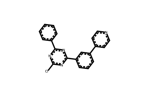 Clc1nc(-c2ccccc2)nc(-c2cccc(-c3ccncc3)c2)n1